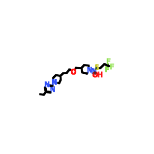 CCc1cnc(N2CCC(CCCOCC3CCN(N(O)SCCC(F)(F)F)CC3)CC2)nc1